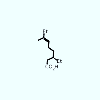 CCC(C)=CCC[C@@H](CC)CC(=O)O